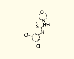 CS/C(=N\c1cc(Cl)cc(Cl)c1)NN1CCOCC1